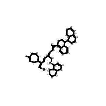 CC1=CCC(C(=C/N)/C=C/C(=C/CC(C)C2=C3C=CC=CC3C(C3C=CC=C4C=CCCC43)CC2)CNC2C=CCC3CCCCC32)CCC1